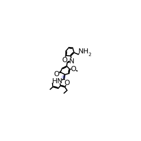 CCC1=C(C=C(C)C)N/C(=C2/C=C(OC)C(c3nc4c(CN)cccc4o3)=CC2=O)O1